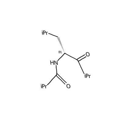 CC(C)C[C@@H](NC(=O)C(C)C)C(=O)C(C)C